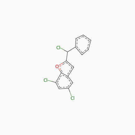 Clc1cc(Cl)c2oc(C(Cl)c3ccccc3)cc2c1